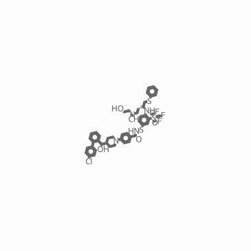 CN(CCO)CC[C@H](CSc1ccccc1)Nc1ccc(SNC(=O)c2ccc(N3CCC([C@@H](O)c4ccccc4-c4ccc(Cl)cc4)CC3)cc2)cc1S(=O)(=O)C(F)(F)F